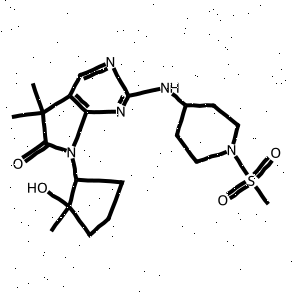 CC1(C)C(=O)N(C2CCCC2(C)O)c2nc(NC3CCN(S(C)(=O)=O)CC3)ncc21